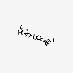 CCCNc1ccc(-c2ccc3cc(OCC(O)CF)ccc3n2)cn1